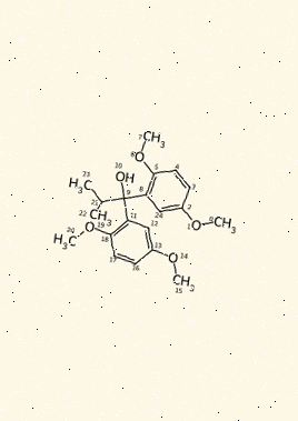 COc1ccc(OC)c(C(O)(c2cc(OC)ccc2OC)C(C)C)c1